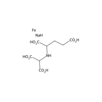 O=C(O)CCC(NC(C(=O)O)C(=O)O)C(=O)O.[Fe].[NaH]